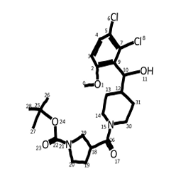 COc1ccc(Cl)c(Cl)c1C(O)C1CCN(C(=O)C2CCN(C(=O)OC(C)(C)C)C2)CC1